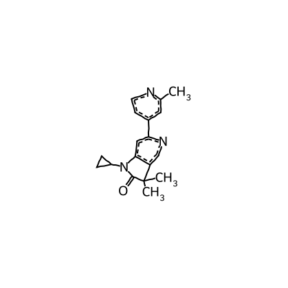 Cc1cc(-c2cc3c(cn2)C(C)(C)C(=O)N3C2CC2)ccn1